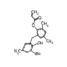 C=CC(=O)Oc1c(C)cc(C)cc1Cc1cc(C)cc(C(C)(C)C)c1O